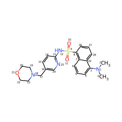 CN(C)c1cccc2c(S(=O)(=O)Nc3ccc(CN4CCOCC4)cn3)cccc12